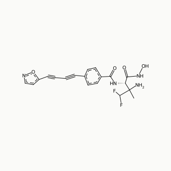 CC(N)(C(F)F)[C@H](NC(=O)c1ccc(C#CC#Cc2ccno2)cc1)C(=O)NO